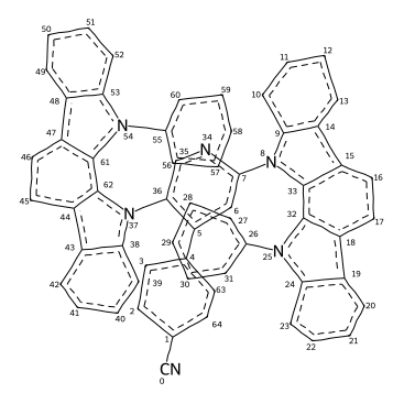 N#Cc1ccc(-c2cc(-n3c4ccccc4c4ccc5c6ccccc6n(-c6ccccc6)c5c43)ncc2-n2c3ccccc3c3ccc4c5ccccc5n(-c5ccccc5)c4c32)cc1